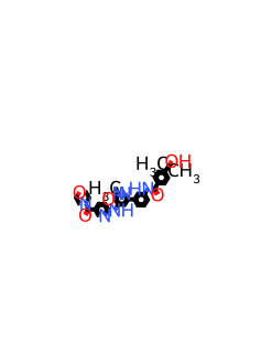 Cn1nc(-c2cccc(NC(=O)c3ccc(C(C)(C)O)cc3)c2)cc(Nc2ccc(C(=O)N3CCOCC3)cn2)c1=O